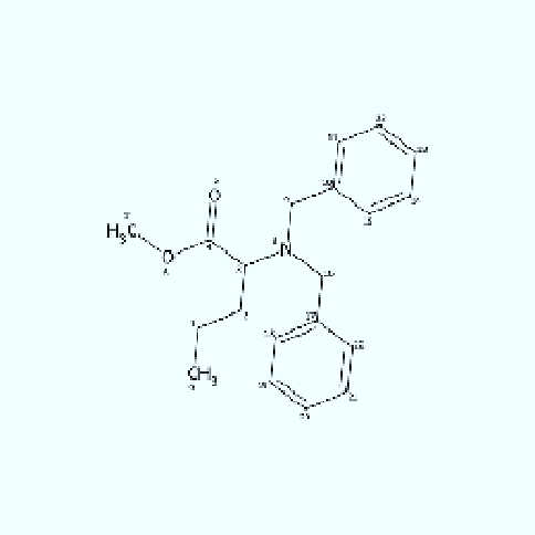 CCCC(C(=O)OC)N(Cc1ccccc1)Cc1ccccc1